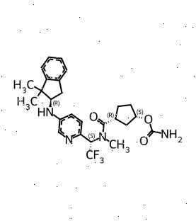 CN(C(=O)[C@@H]1CC[C@H](OC(N)=O)C1)[C@@H](c1ccc(N[C@@H]2Cc3ccccc3C2(C)C)cn1)C(F)(F)F